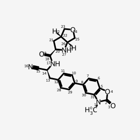 Cn1c(=O)oc2ccc(-c3ccc(C[C@@H](C#N)NC(=O)[C@H]4C[C@@H]5COC[C@@H]5N4)cc3)cc21